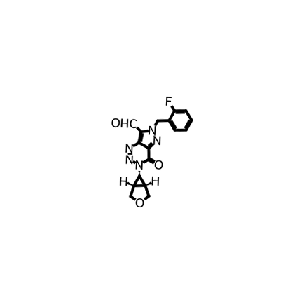 O=Cc1c2nnn([C@@H]3[C@@H]4COC[C@@H]43)c(=O)c2nn1Cc1ccccc1F